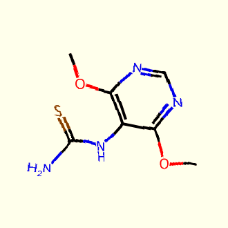 COc1ncnc(OC)c1NC(N)=S